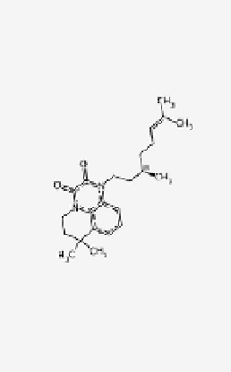 CC(C)=CCC[C@@H](C)CCn1c(=O)c(=O)n2c3c(cccc31)C(C)(C)CC2